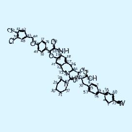 N#Cc1ccc(-c2ccc(CC(NC(=O)[C@@H]3Cc4cc5c(cc4CN3C(=O)N3CCCCC3)O[C@@H](c3ccc(OCc4ccc(Cl)c(Cl)c4)cc3)C(=O)N5)C(=O)O)cc2)cc1